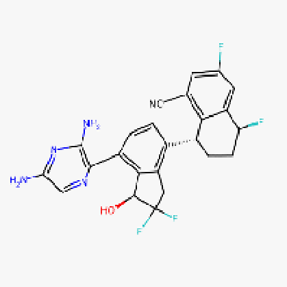 N#Cc1cc(F)cc2c1[C@@H](c1ccc(-c3ncc(N)nc3N)c3c1CC(F)(F)[C@H]3O)CC[C@@H]2F